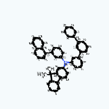 CC1(C)c2ccccc2-c2ccc(N(c3cccc(-c4cccc(-c5ccccc5)c4)c3)c3cccc(-c4cccc5ccccc45)c3)cc21